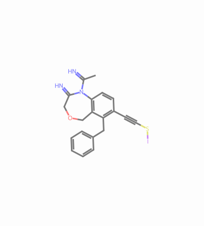 CC(=N)N1C(=N)COCc2c1ccc(C#CSI)c2Cc1ccccc1